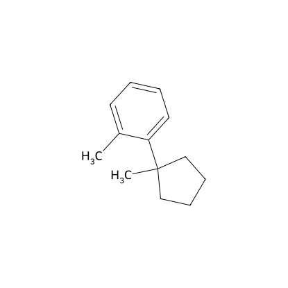 Cc1ccccc1C1(C)CCCC1